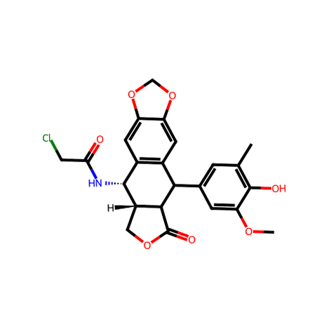 COc1cc(C2c3cc4c(cc3[C@@H](NC(=O)CCl)[C@H]3COC(=O)C23)OCO4)cc(C)c1O